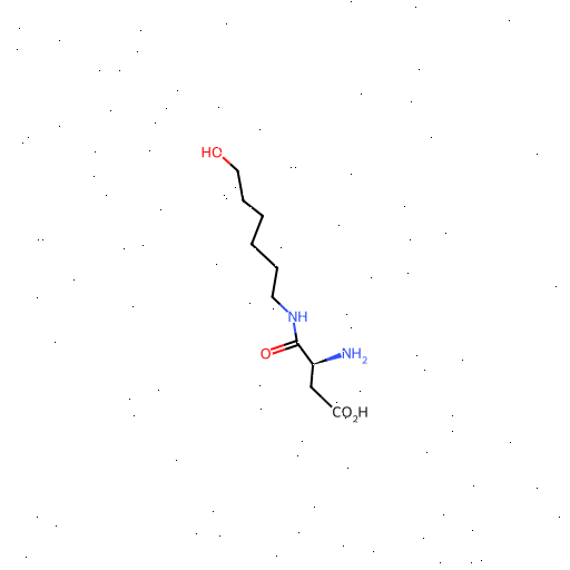 N[C@@H](CC(=O)O)C(=O)NCCCCCCO